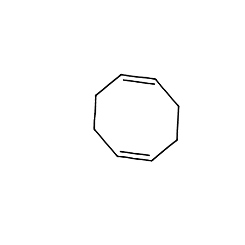 C1=CCCC=CCC1